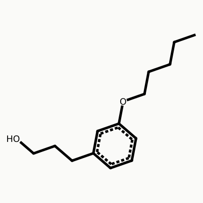 CCCCCOc1cccc(CCCO)c1